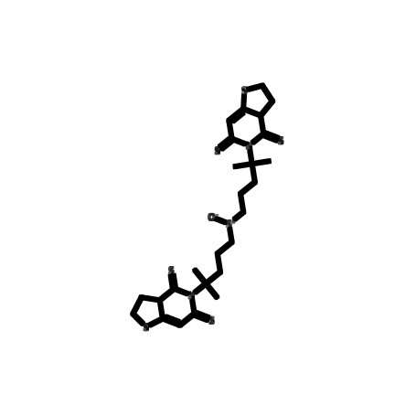 CC(C)(CCC[S+]([O-])CCCC(C)(C)N1C(=S)C=C2SCCC2C1=S)N1C(=S)C=C2SCCC2C1=S